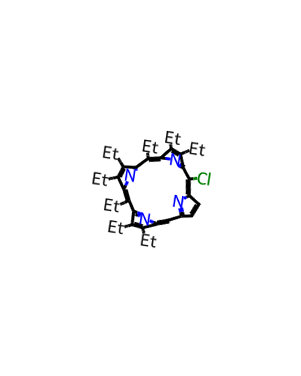 CCC1=C(CC)C2=NC1=CC1=NC(=C(Cl)C3=NC(=C(CC)C4=NC(=C2CC)C(CC)=C4CC)C(CC)=C3CC)C=C1